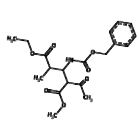 CCOC(=O)C(C)C(NC(=O)OCc1ccccc1)C(C(C)=O)C(=O)OC